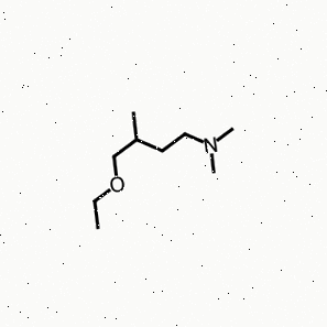 CCOCC(C)CCN(C)C